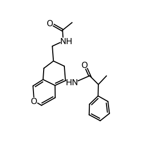 CC(=O)NCC1CC2=COC=CC2=C(NC(=O)C(C)c2ccccc2)C1